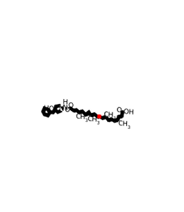 CC(=C/C=C/C(C)=C/C=C/C=C(C)/C=C/C=C(C)/C=C/C(=O)ONN1CCC(O)(Cc2ccccc2)CC1)/C=C/C(=O)O